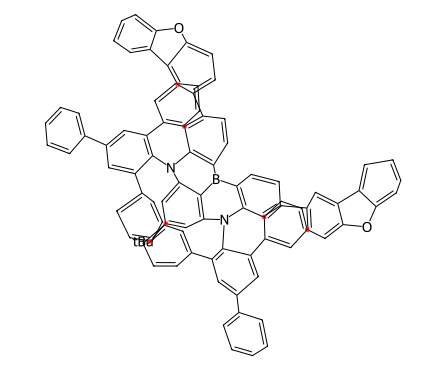 CC(C)(C)c1cc2c3c(c1)N(c1c(-c4ccccc4)cc(-c4ccccc4)cc1-c1ccccc1)c1cc(-c4ccc5oc6ccccc6c5c4)ccc1B3c1ccc(-c3ccc4oc5ccccc5c4c3)cc1N2c1c(-c2ccccc2)cc(-c2ccccc2)cc1-c1ccccc1